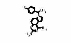 CC(c1ccc(F)cc1)n1ccc2c3c(N)nc(N)nc3ccc21